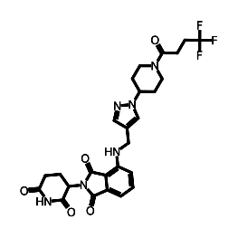 O=C1CCC(N2C(=O)c3cccc(NCc4cnn(C5CCN(C(=O)CCC(F)(F)F)CC5)c4)c3C2=O)C(=O)N1